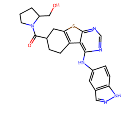 O=C(C1CCc2c(sc3ncnc(Nc4ccc5[nH]ncc5c4)c23)C1)N1CCCC1CO